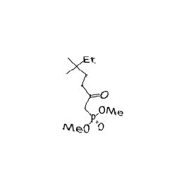 CCC(C)(C)CCC(=O)CP(=O)(OC)OC